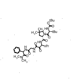 CCCC(NC(=O)[C@@H]1CC(C)(C)CN1C(=O)[C@@H](NC(=O)OC(C)(C)C)C(C)(C)C)C(=O)C(=O)NCC(=O)NC(C(=O)N(C)C)c1ccccc1